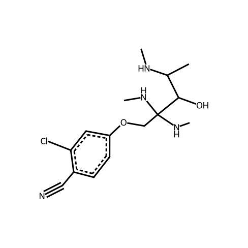 CNC(C)C(O)C(COc1ccc(C#N)c(Cl)c1)(NC)NC